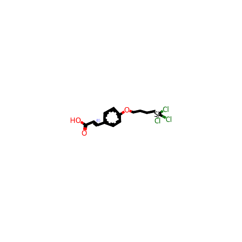 O=C(O)/C=C/c1ccc(OCCCC[Si](Cl)(Cl)Cl)cc1